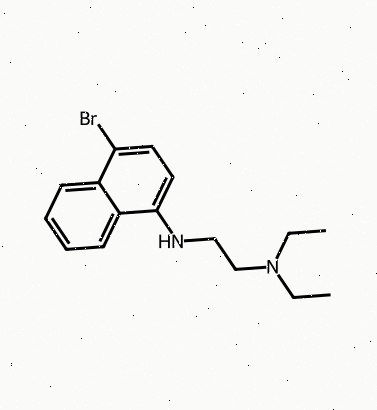 CCN(CC)CCNc1ccc(Br)c2ccccc12